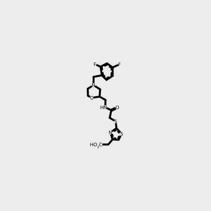 O=C(O)Cc1csc(SCC(=O)NCC2CN(Cc3ccc(F)cc3F)CCO2)n1